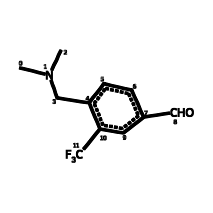 CN(C)Cc1ccc(C=O)cc1C(F)(F)F